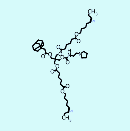 CC/C=C\CCCCOC(=O)CCCCC(=O)OCC(COC(=O)CCCCC(=O)OCCCC/C=C\CC)(COC(=O)CC12CC3CC(CC(C3)C1)C2)COC(=O)NCCN1CCCC1